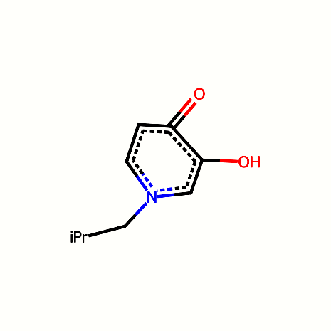 CC(C)Cn1ccc(=O)c(O)c1